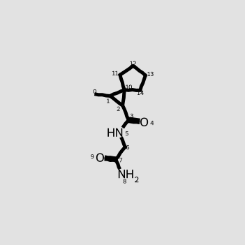 CC1C(C(=O)NCC(N)=O)C12CCCC2